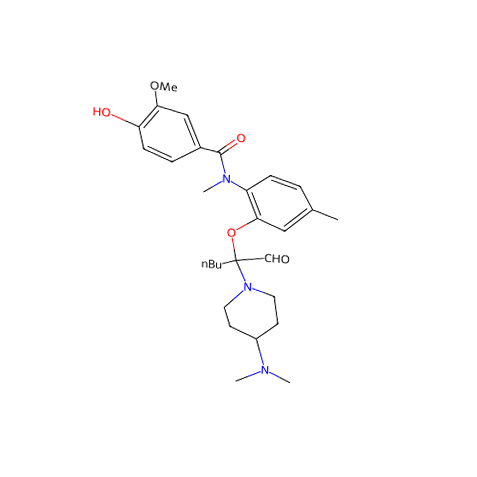 CCCCC(C=O)(Oc1cc(C)ccc1N(C)C(=O)c1ccc(O)c(OC)c1)N1CCC(N(C)C)CC1